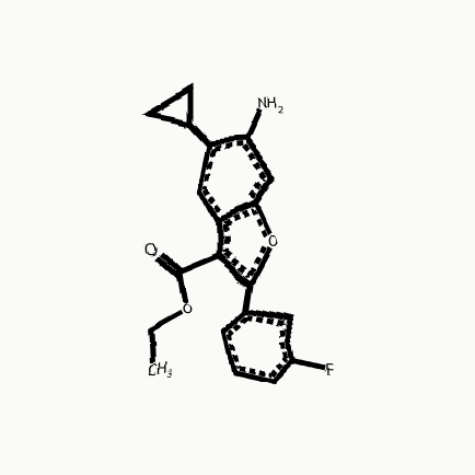 CCOC(=O)c1c(-c2cccc(F)c2)oc2cc(N)c(C3CC3)cc12